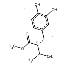 COC(=O)[C@H](Cc1ccc(O)c(O)c1)C(C)C